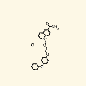 NC(=O)c1ccc2c(ccc[n+]2COCCOc2ccc(Oc3ccccc3)cc2)c1.[Cl-]